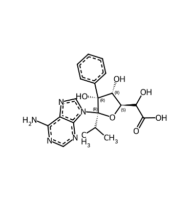 CC(C)[C@@]1(n2cnc3c(N)ncnc32)O[C@H](C(O)C(=O)O)[C@@H](O)[C@]1(O)c1ccccc1